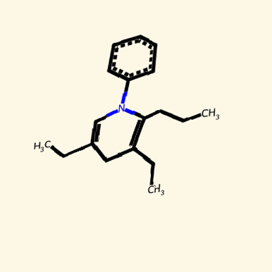 CCCC1=C(CC)CC(CC)=CN1c1ccccc1